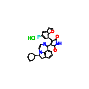 Cl.O=C1NC(=O)C(c2cc(F)cc3ccoc23)=C1C1=NC=CN2c3c(cccc31)CC2C1CCCCC1